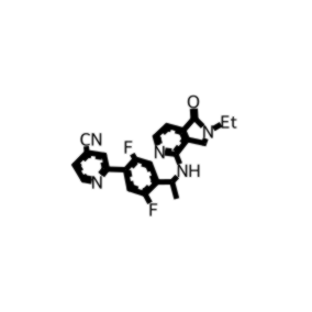 CCN1Cc2c(ccnc2NC(C)c2cc(F)c(-c3cc(C#N)ccn3)cc2F)C1=O